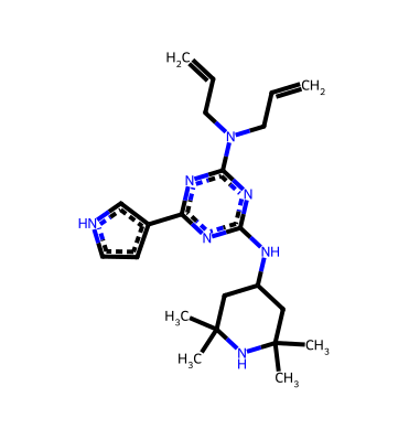 C=CCN(CC=C)c1nc(NC2CC(C)(C)NC(C)(C)C2)nc(-c2cc[nH]c2)n1